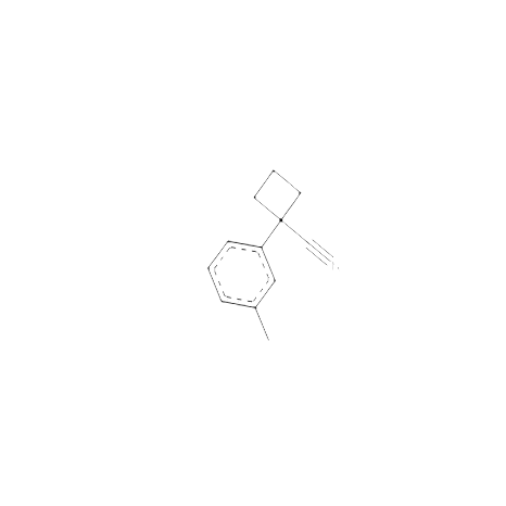 Cc1cccc(C2(C#N)CCC2)c1